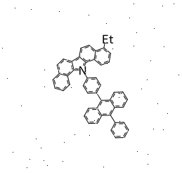 CCc1cccc2c1ccc1c3ccc4ccccc4c3n(-c3ccc(-c4c5ccccc5c(-c5ccccc5)c5ccccc45)cc3)c21